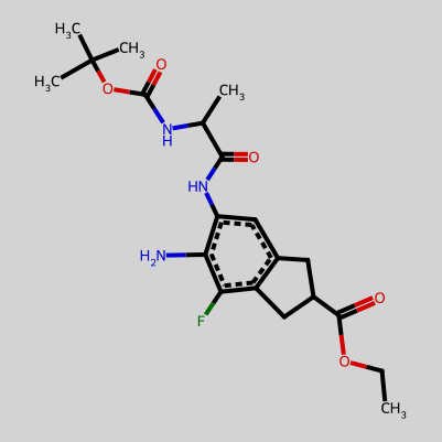 CCOC(=O)C1Cc2cc(NC(=O)C(C)NC(=O)OC(C)(C)C)c(N)c(F)c2C1